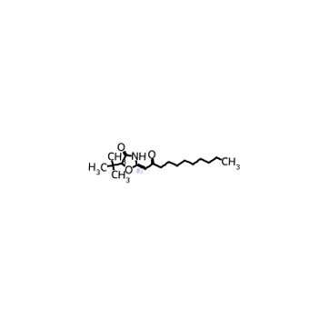 CCCCCCCCCC(=O)/C=C1\NC(=O)C(C(C)(C)C)O1